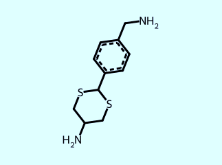 NCc1ccc(C2SCC(N)CS2)cc1